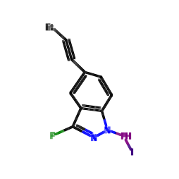 CCC#Cc1ccc2c(c1)c(F)nn2PI